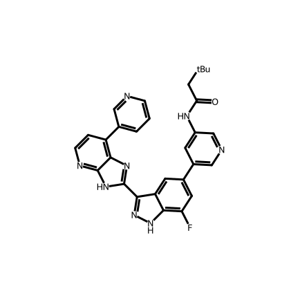 CC(C)(C)CC(=O)Nc1cncc(-c2cc(F)c3[nH]nc(-c4nc5c(-c6cccnc6)ccnc5[nH]4)c3c2)c1